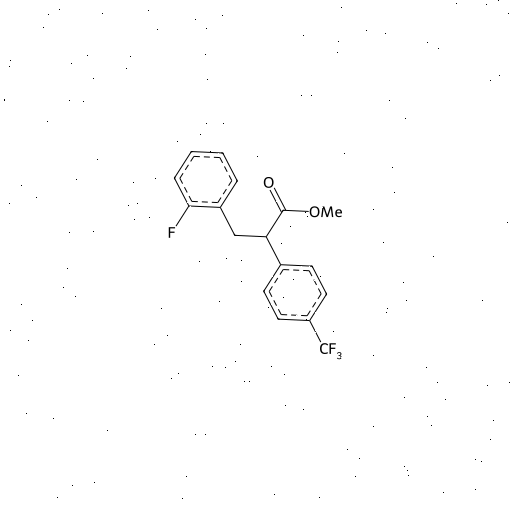 COC(=O)C(Cc1ccccc1F)c1ccc(C(F)(F)F)cc1